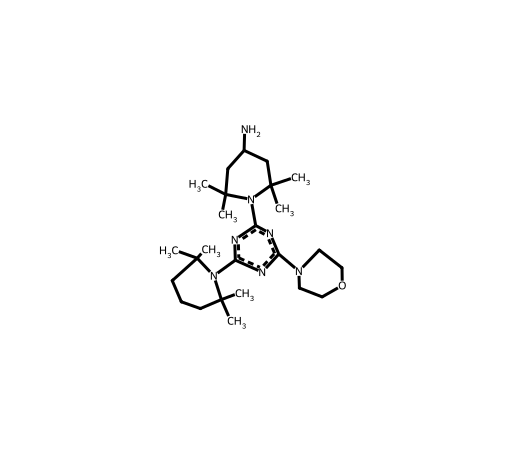 CC1(C)CCCC(C)(C)N1c1nc(N2CCOCC2)nc(N2C(C)(C)CC(N)CC2(C)C)n1